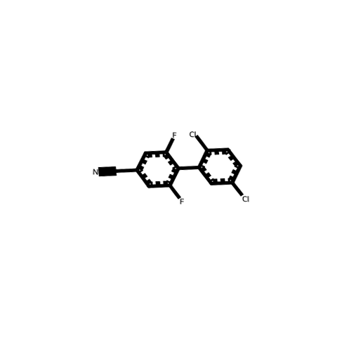 N#Cc1cc(F)c(-c2cc(Cl)c[c]c2Cl)c(F)c1